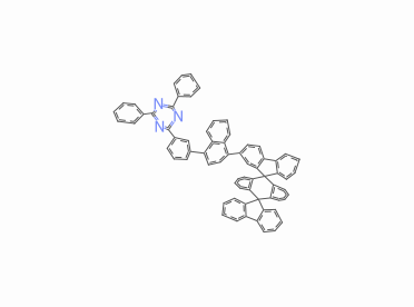 c1ccc(-c2nc(-c3ccccc3)nc(-c3cccc(-c4ccc(-c5ccc6c(c5)C5(c7ccccc7-6)c6ccccc6C6(c7ccccc7-c7ccccc76)c6ccccc65)c5ccccc45)c3)n2)cc1